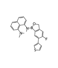 CN(C)c1cccc2cccc(N(C)B3OCc4cc(F)c(-c5ccsc5)cc43)c12